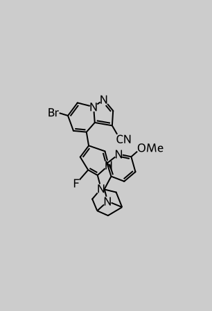 COc1ccc(CN2C3CC2CN(c2ncc(-c4cc(Br)cn5ncc(C#N)c45)cc2F)C3)cn1